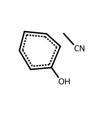 CC#N.Oc1ccccc1